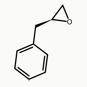 [c]1ccc(C[C@H]2CO2)cc1